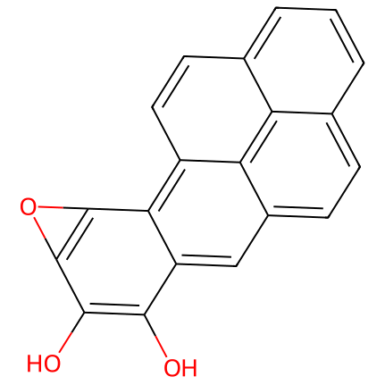 Oc1c(O)c2oc2c2c1cc1ccc3cccc4ccc2c1c34